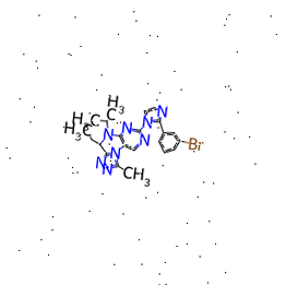 CCC1c2nnc(C)n2-c2cnc(-n3ccnc3-c3cccc(Br)c3)nc2N1C(C)C